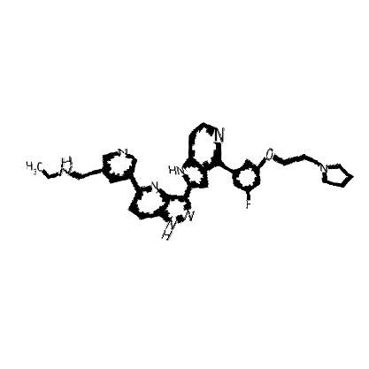 CCNCc1cncc(-c2ccc3[nH]nc(-c4cc5c(-c6cc(F)cc(OCCN7CCCC7)c6)nccc5[nH]4)c3n2)c1